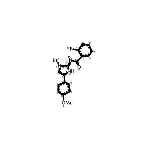 CCn1cc(-c2ccc(OC)cc2)[nH]/c1=N\C(=O)c1ccccc1F